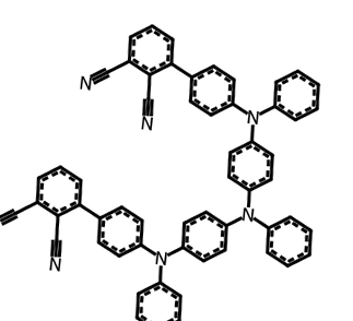 N#Cc1cccc(-c2ccc(N(c3ccccc3)c3ccc(N(c4ccccc4)c4ccc(N(c5ccccc5)c5ccc(-c6cccc(C#N)c6C#N)cc5)cc4)cc3)cc2)c1C#N